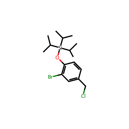 CC(C)[Si](Oc1ccc(CCl)cc1Br)(C(C)C)C(C)C